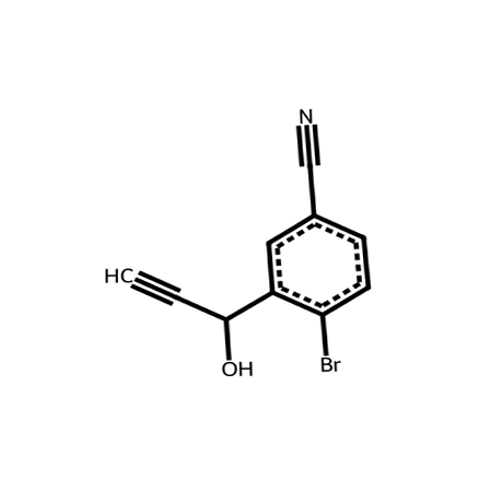 C#CC(O)c1cc(C#N)ccc1Br